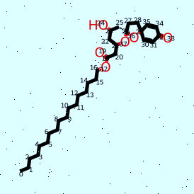 CCCCCCCCCCCCCCCCCOC(=O)CC1CC(O)C[C@@]2(CCC3(C=CC(=O)C=C3)O2)O1